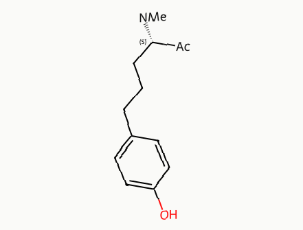 CN[C@@H](CCCc1ccc(O)cc1)C(C)=O